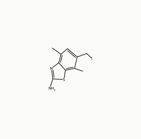 Cc1cc(CI)c(C)c2sc(N)nc12